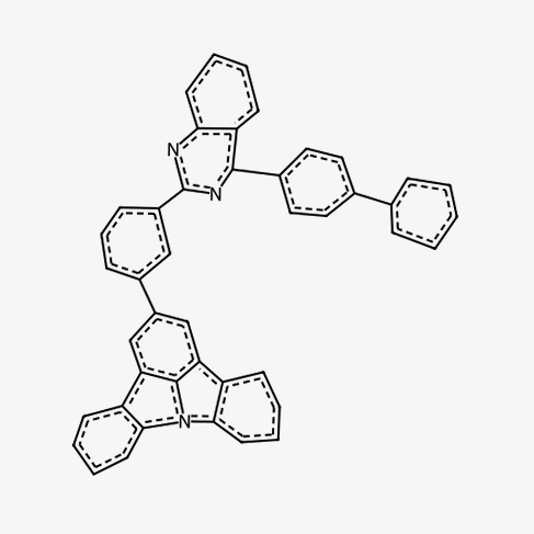 c1ccc(-c2ccc(-c3nc(-c4cccc(-c5cc6c7ccccc7n7c8ccccc8c(c5)c67)c4)nc4ccccc34)cc2)cc1